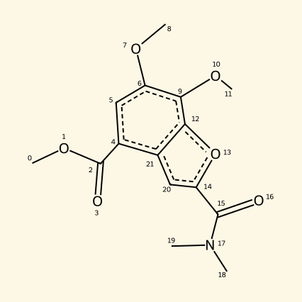 COC(=O)c1cc(OC)c(OC)c2oc(C(=O)N(C)C)cc12